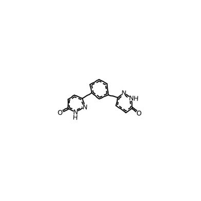 O=c1ccc(-c2cccc(-c3ccc(=O)[nH]n3)c2)n[nH]1